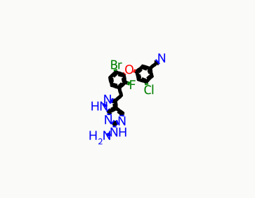 N#Cc1cc(Cl)cc(Oc2c(Br)ccc(Cc3n[nH]c4nc(NN)ncc34)c2F)c1